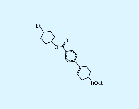 CCCCCCCCC1CC=C(c2ccc(C(=O)OC3CCC(CC)CC3)cc2)CC1